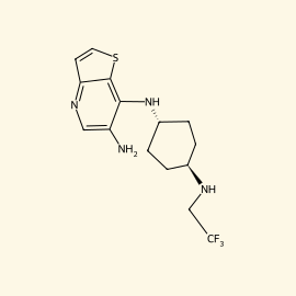 Nc1cnc2ccsc2c1N[C@H]1CC[C@H](NCC(F)(F)F)CC1